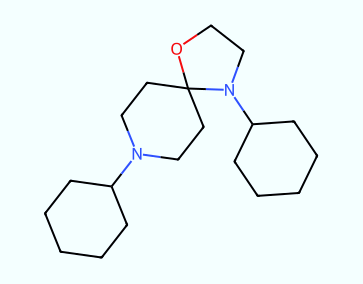 C1CCC(N2CCC3(CC2)OCCN3C2CCCCC2)CC1